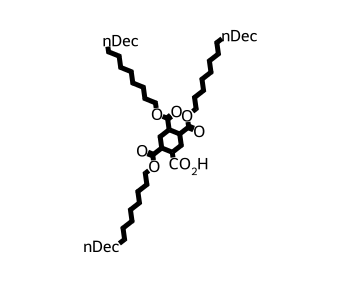 CCCCCCCCCCCCCCCCCCOC(=O)C1CC(C(=O)OCCCCCCCCCCCCCCCCCC)C(C(=O)OCCCCCCCCCCCCCCCCCC)CC1C(=O)O